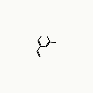 C=CC(C=C(C)C)=CC